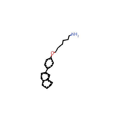 NCCCCCCOc1ccc(-c2ccc3ccccc3c2)cc1